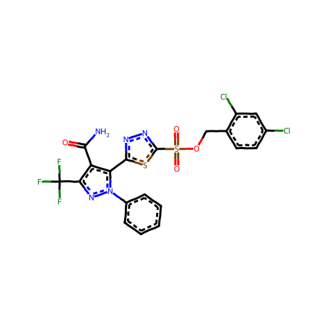 NC(=O)c1c(C(F)(F)F)nn(-c2ccccc2)c1-c1nnc(S(=O)(=O)OCc2ccc(Cl)cc2Cl)s1